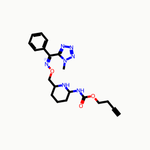 C#CCCOC(=O)NC1CCCC(CO/N=C(/c2ccccc2)c2nnnn2C)N1